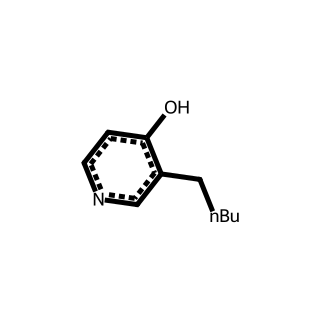 CCCCCc1cnccc1O